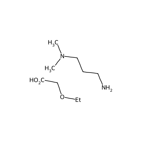 CCOCC(=O)O.CN(C)CCCN